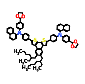 CCCCC(CC)Cc1cc2c(cc1CC(CC)CCCC)c1cc(-c3ccc(N(c4ccc(C5OCCO5)cc4)c4cccc5ccccc45)cc3)sc1c1sc(-c3ccc(N(c4ccc(C5OCCO5)cc4)c4cccc5ccccc45)cc3)cc21